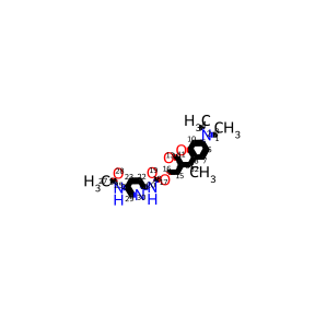 CCN(CC)c1ccc2c(c1)OC(=O)C(CCOC(=O)Nc1ccc(NC(C)=O)cn1)C2C